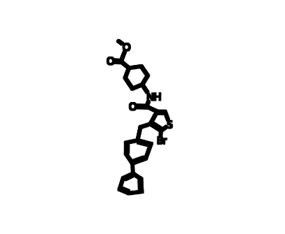 COC(=O)C1CCC(NC(=O)c2csc(Br)c2Cc2ccc(-c3ccccc3)cc2)CC1